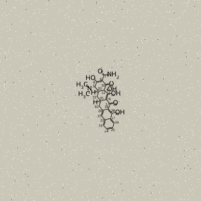 CN(C)[C@@H]1C(O)=C(C(N)=O)C(=O)[C@@]2(O)C(O)=C3C(=O)c4c(cc5ccccc5c4O)C[C@H]3C[C@@H]12